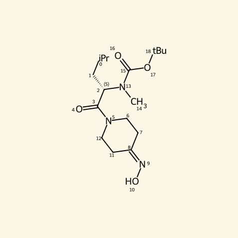 CC(C)C[C@@H](C(=O)N1CCC(=NO)CC1)N(C)C(=O)OC(C)(C)C